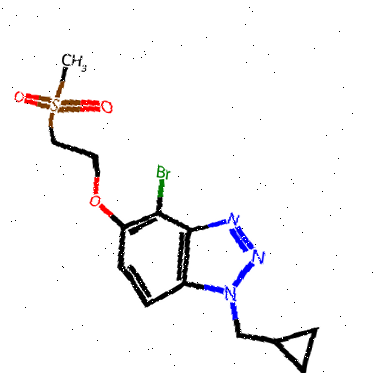 CS(=O)(=O)CCOc1ccc2c(nnn2CC2CC2)c1Br